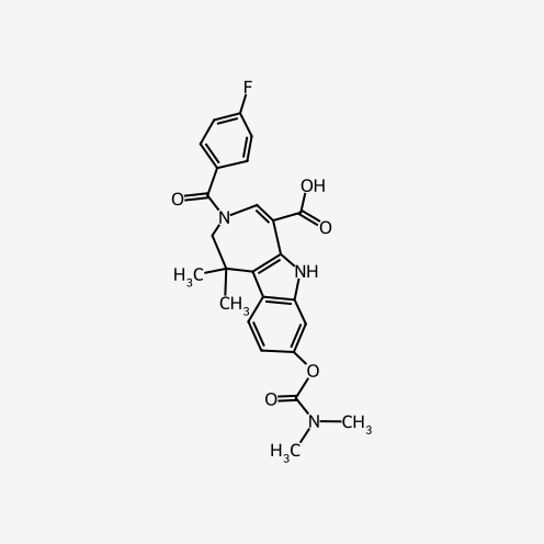 CN(C)C(=O)Oc1ccc2c3c([nH]c2c1)C(C(=O)O)=CN(C(=O)c1ccc(F)cc1)CC3(C)C